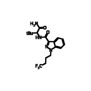 CC(C)(C)C(NC(=O)c1nn(CCCC(F)(F)F)c2ccccc12)C(N)=O